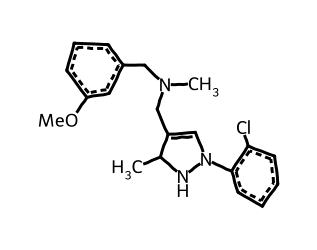 COc1cccc(CN(C)CC2=CN(c3ccccc3Cl)NC2C)c1